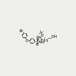 CC(C)(C)OC(=O)[C@H](NS(=O)(=O)c1ccc(Oc2ccc(Br)cc2)cc1)C(C)(C)SCCO